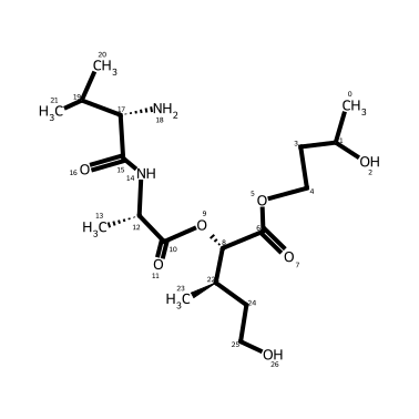 CC(O)CCOC(=O)[C@@H](OC(=O)[C@H](C)NC(=O)[C@@H](N)C(C)C)[C@H](C)CCO